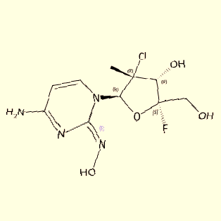 C[C@]1(Cl)[C@H](n2ccc(N)n/c2=N\O)O[C@](F)(CO)[C@H]1O